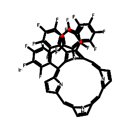 Fc1c(F)c(F)c(-c2c(-c3c(F)c(F)c(F)c(F)c3F)c3c(-c4c(F)c(F)c(F)c(F)c4F)c4nc(cc5ccc(cc6nc(cc2n3-c2c(F)c(F)c(F)c(F)c2F)C=C6)[nH]5)C=C4)c(F)c1F.[Ir]